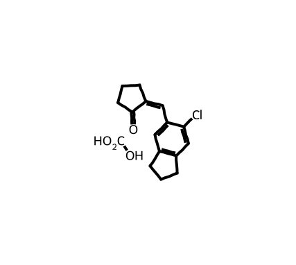 O=C(O)O.O=C1CCCC1=Cc1cc2c(cc1Cl)CCC2